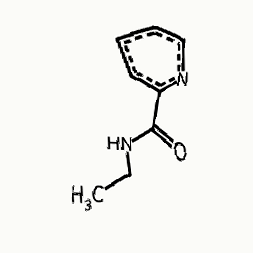 CCNC(=O)c1ccccn1